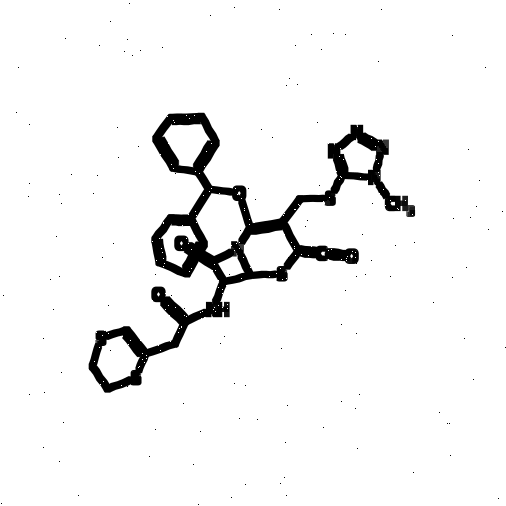 Cn1nnnc1SCC1=C(OC(c2ccccc2)c2ccccc2)N2C(=O)C(NC(=O)CC3=CSCCS3)C2SC1=C=O